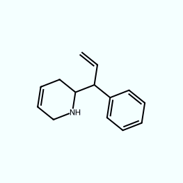 C=CC(c1ccccc1)C1CC=CCN1